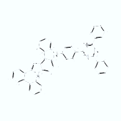 c1ccc(-c2nc(-c3ccccc3)nc(-c3ccc(-n4c5ccccc5c5c6cc7c8ccccc8c8ccccc8n7c6ccc54)cc3)n2)cc1